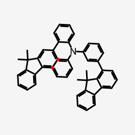 CC1(C)c2ccccc2-c2ccc(-c3ccccc3N(c3ccccc3)c3cccc(-c4cccc5c4C(C)(C)c4ccccc4-5)c3)cc21